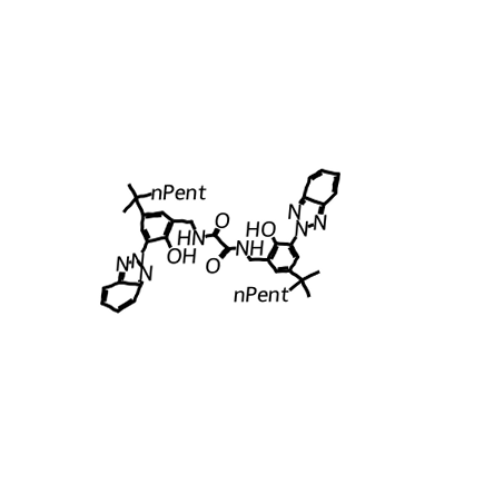 CCCCCC(C)(C)c1cc(CNC(=O)C(=O)NCc2cc(C(C)(C)CCCCC)cc(-n3nc4ccccc4n3)c2O)c(O)c(-n2nc3ccccc3n2)c1